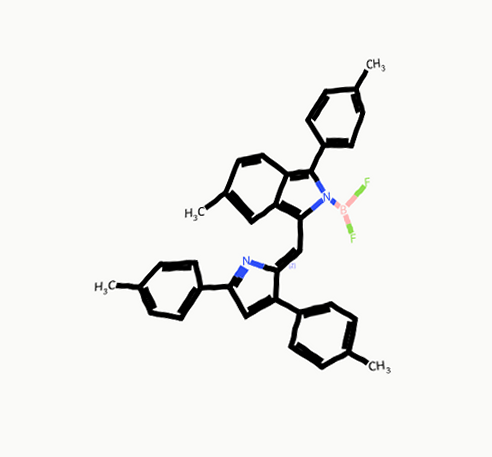 Cc1ccc(C2=CC(c3ccc(C)cc3)=N/C2=C\c2c3cc(C)ccc3c(-c3ccc(C)cc3)n2B(F)F)cc1